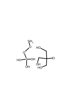 CCC(CO)(CO)CO.O[Si](O)(O)OO[SiH3]